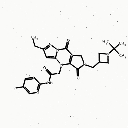 CCc1cc2n(CC(=O)Nc3ccc(F)cn3)c3c(c(=O)n2n1)CN(CC1CN(C(C)(C)C)C1)C3=O